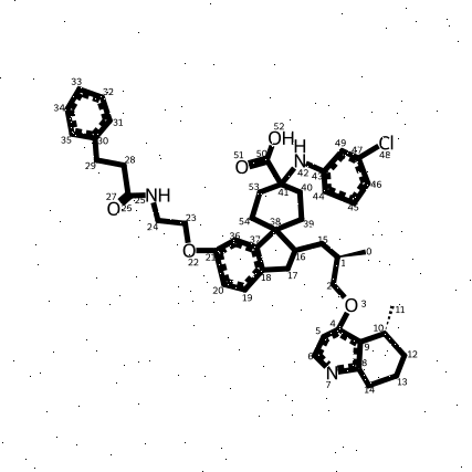 C[C@@H](COc1ccnc2c1[C@H](C)CCC2)CC1Cc2ccc(OCCNC(=O)CCc3ccccc3)cc2C12CCC(Nc1cccc(Cl)c1)(C(=O)O)CC2